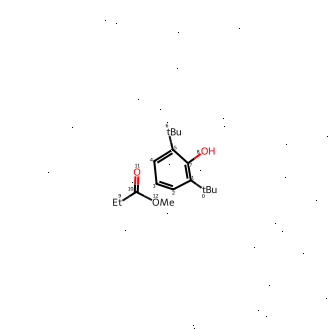 CC(C)(C)c1cccc(C(C)(C)C)c1O.CCC(=O)OC